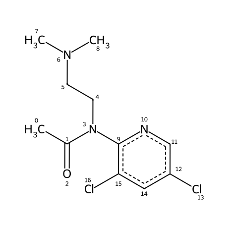 CC(=O)N(CCN(C)C)c1ncc(Cl)cc1Cl